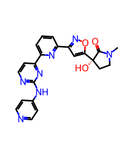 CN1CC[C@@](O)(c2cc(-c3cccc(-c4ccnc(Nc5ccncc5)n4)n3)no2)C1=O